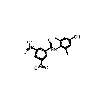 Cc1cc(O)cc(C)c1NC(=O)c1cc([N+](=O)[O-])cc([N+](=O)[O-])c1